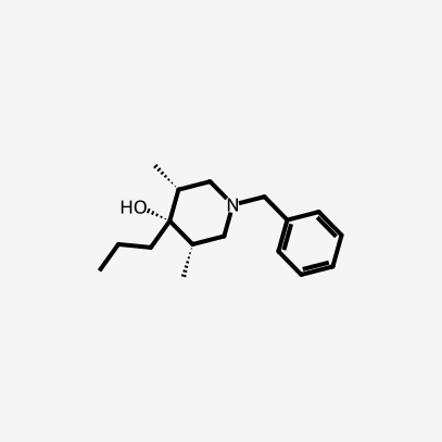 CCC[C@@]1(O)[C@H](C)CN(Cc2ccccc2)C[C@@H]1C